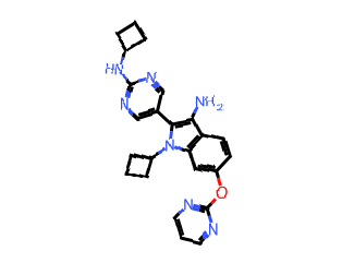 Nc1c(-c2cnc(NC3CCC3)nc2)n(C2CCC2)c2cc(Oc3ncccn3)ccc12